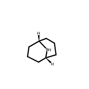 B1[C@H]2CCC[C@@H]1CCC2